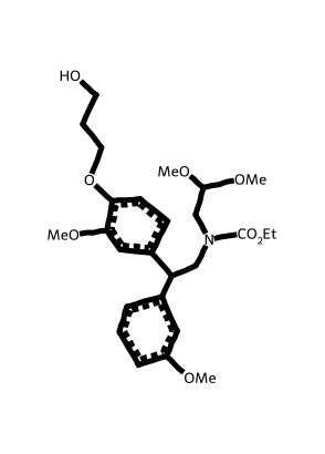 CCOC(=O)N(CC(OC)OC)CC(c1cccc(OC)c1)c1ccc(OCCCO)c(OC)c1